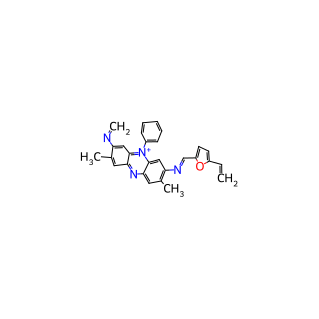 C=Cc1ccc(C=Nc2cc3c(cc2C)nc2cc(C)c(N=C)cc2[n+]3-c2ccccc2)o1